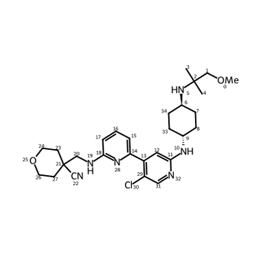 COCC(C)(C)N[C@H]1CC[C@H](Nc2cc(-c3cccc(NCC4(C#N)CCOCC4)n3)c(Cl)cn2)CC1